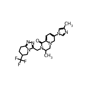 Cc1cn(C2=CC=C3C(=O)N(Cc4nnc5n4CC(C(F)(F)F)CC5)C(C)CN3C2)cn1